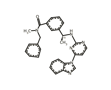 C[C@H](Nc1nccc(-n2cnc3ccccc32)n1)c1cccc(C(=O)N(C)Cc2ccccc2)c1